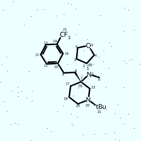 CN([C@@H]1CCOC1)[C@@]1(CCc2cccc(C(F)(F)F)c2)CCCN(C(C)(C)C)C1